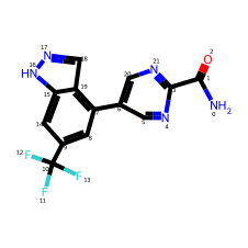 NC(=O)c1ncc(-c2cc(C(F)(F)F)cc3[nH]ncc23)cn1